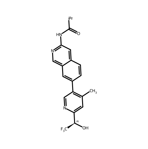 Cc1cc([C@@H](O)C(F)(F)F)ncc1-c1ccc2cc(NC(=O)C(C)C)ncc2c1